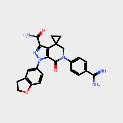 N=C(N)c1ccc(N2CC3(CC3)c3c(C(N)=O)nn(-c4ccc5c(c4)CCO5)c3C2=O)cc1